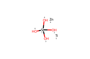 O[Si](O)(O)O.[Ti].[Zn]